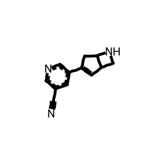 N#Cc1cncc(C2=CC3CNC3C2)c1